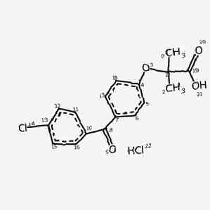 CC(C)(Oc1ccc(C(=O)c2ccc(Cl)cc2)cc1)C(=O)O.Cl